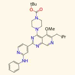 COc1c(CC(C)C)ncc2nc(-c3ccnc(Nc4ccccc4)c3)nc(N3CCN(C(=O)OC(C)(C)C)CC3)c12